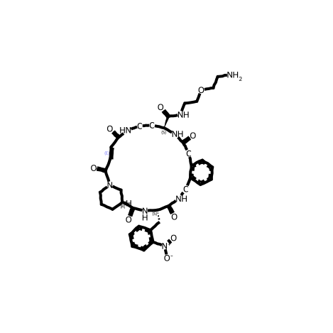 NCCOCCNC(=O)[C@@H]1CCNC(=O)/C=C/C(=O)N2CCC[C@H](C2)C(=O)N[C@@H](Cc2ccccc2[N+](=O)[O-])C(=O)NCc2ccccc2CC(=O)N1